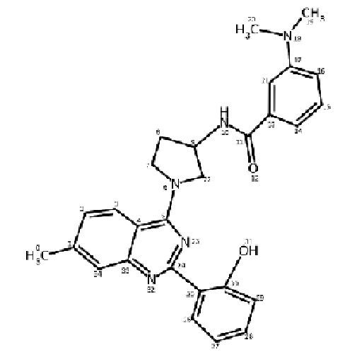 Cc1ccc2c(N3CCC(NC(=O)c4cccc(N(C)C)c4)C3)nc(-c3ccccc3O)nc2c1